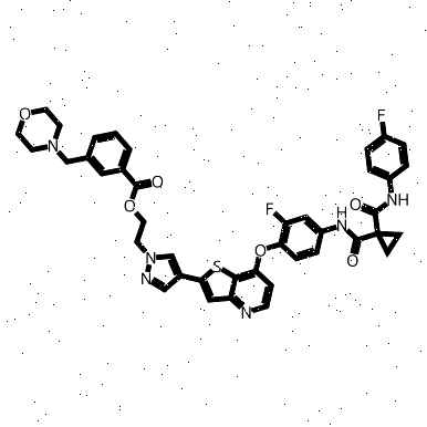 O=C(OCCn1cc(-c2cc3nccc(Oc4ccc(NC(=O)C5(C(=O)Nc6ccc(F)cc6)CC5)cc4F)c3s2)cn1)c1cccc(CN2CCOCC2)c1